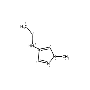 CCNc1cnn(C)c1